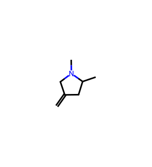 C=C1CC(C)N(C)C1